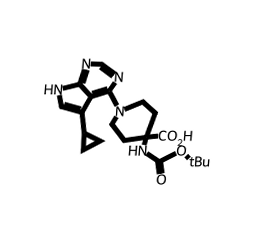 CC(C)(C)OC(=O)NC1(C(=O)O)CCN(c2ncnc3[nH]cc(C4CC4)c23)CC1